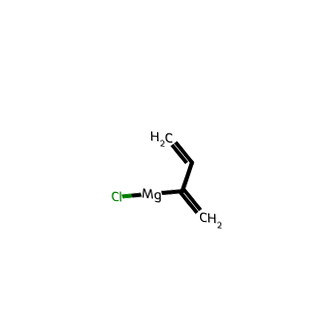 C=C[C](=C)[Mg][Cl]